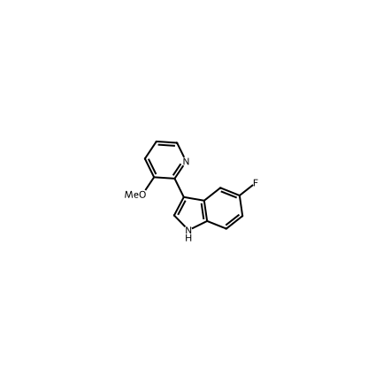 COc1cccnc1-c1c[nH]c2ccc(F)cc12